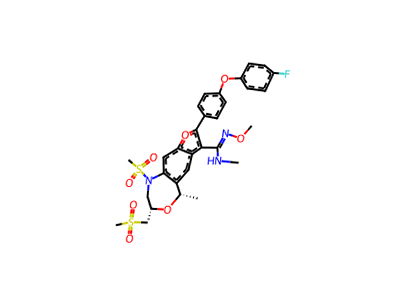 CN/C(=N\OC)c1c(-c2ccc(Oc3ccc(F)cc3)cc2)oc2cc3c(cc12)[C@H](C)O[C@H](CS(C)(=O)=O)CN3S(C)(=O)=O